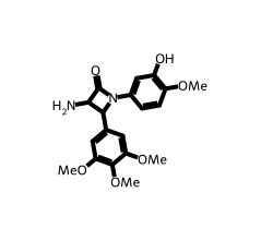 COc1ccc(N2C(=O)C(N)C2c2cc(OC)c(OC)c(OC)c2)cc1O